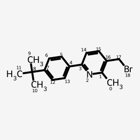 Cc1nc(-c2ccc(C(C)(C)C)cc2)ccc1CBr